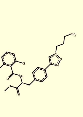 COC(=O)[C@H](Cc1ccc(-c2cn(CCCN)nn2)cc1)NC(=O)c1c(Cl)cccc1Cl